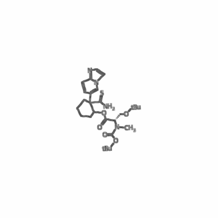 CN(C(=O)OC(C)(C)C)[C@@H](COC(C)(C)C)C(=O)OC1CCCCC1(C(N)=S)c1ccc2nccn2c1